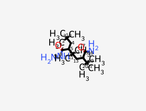 CC(C)(C)CC(C(=O)NN)C(C)(C)CC(C(N)=O)C(C)(C)C